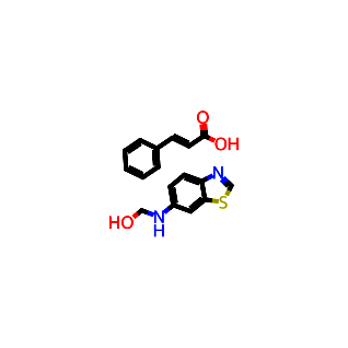 O=C(O)C=Cc1ccccc1.OCNc1ccc2ncsc2c1